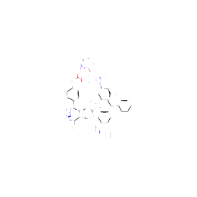 Cc1ccccc1C1=C2C=CC(=[N+](C)C)C=C2[Si](C)([C@H]2CC3CC2c2c(-c4ccc(CC(=O)ON5C(=O)CCC5=O)cc4)nnc(C)c23)c2cc(N(C)C)ccc21